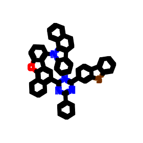 c1ccc(-c2nc(-c3ccc4c(c3)sc3ccccc34)nc(-c3cc4c(oc5cccc(-n6c7ccccc7c7ccc8ccccc8c76)c54)c4ccccc34)n2)cc1